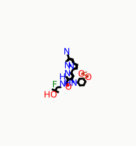 CC(C)(O)C(F)CNC(=O)c1cnc(-c2ccc3cc(C#N)cnn23)cc1NC1CCCC(S(C)(=O)=O)C1